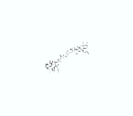 CN(c1cc(F)c(N2CCN(CC3CCN(C(=O)COC(=O)N4CC(c5cnc(-c6c(-c7nn(C(C)(C)C)c8ncnc(N)c78)noc6C6CC6)nc5)C4)CC3)CC2)c(F)c1)[C@@H]1CCC(=O)NC1=O